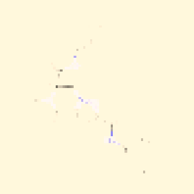 CC(C)CCNC(=O)C1(C)Cn2nc(C(=O)NC3CCCCCC3)cc2C(=O)N1C